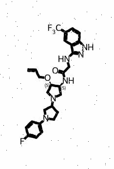 C=CCO[C@H]1CN(C2CCN(c3ccc(F)cc3)C2)C[C@@H]1NC(=O)CNc1n[nH]c2ccc(C(F)(F)F)cc12